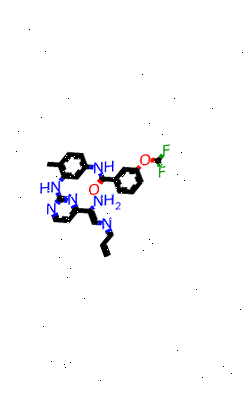 C=C/C=N\C=C(/N)c1ccnc(Nc2cc(NC(=O)c3cccc(OC(F)F)c3)ccc2C)n1